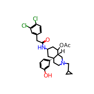 CC(=O)OC1C[C@H](NC(=O)Cc2ccc(Cl)c(Cl)c2)C[C@]2(c3cccc(O)c3)CCN(CC3CC3)C[C@@H]12